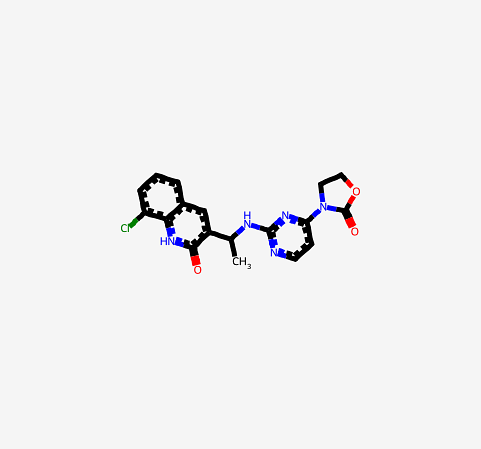 CC(Nc1nccc(N2CCOC2=O)n1)c1cc2cccc(Cl)c2[nH]c1=O